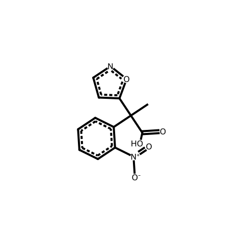 CC(C(=O)O)(c1ccno1)c1ccccc1[N+](=O)[O-]